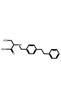 CNC(=O)C(CO)NCc1ccc(CCc2ccccc2)cc1